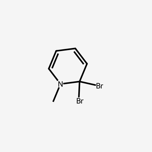 CN1C=CC=CC1(Br)Br